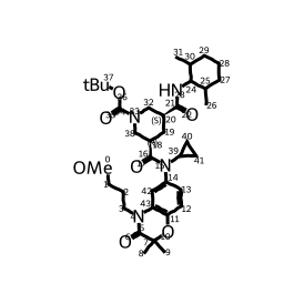 COCCCN1C(=O)C(C)(C)Oc2ccc(N(C(=O)[C@@H]3C[C@H](C(=O)NC4C(C)CCCC4C)CN(C(=O)OC(C)(C)C)C3)C3CC3)cc21